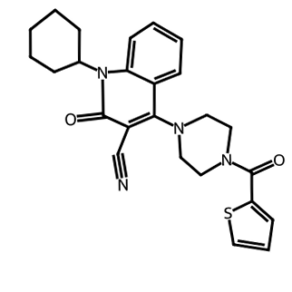 N#Cc1c(N2CCN(C(=O)c3cccs3)CC2)c2ccccc2n(C2CCCCC2)c1=O